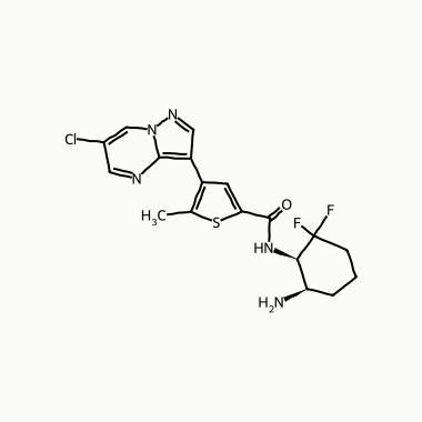 Cc1sc(C(=O)N[C@@H]2[C@H](N)CCCC2(F)F)cc1-c1cnn2cc(Cl)cnc12